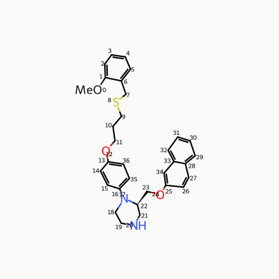 COc1ccccc1CSCCCOc1ccc(N2CCNC[C@@H]2COc2ccc3ccccc3c2)cc1